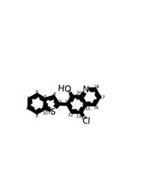 Oc1c(-c2cc3ccccc3s2)cc(Cl)c2cccnc12